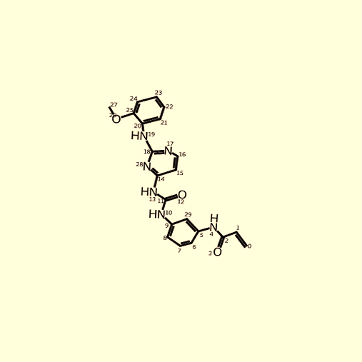 C=CC(=O)Nc1cccc(NC(=O)Nc2ccnc(Nc3ccccc3OC)n2)c1